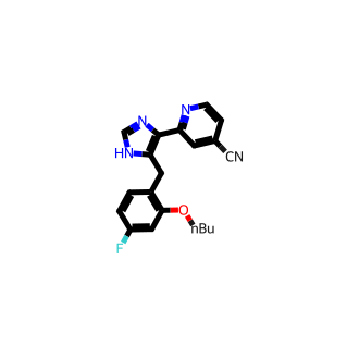 CCCCOc1cc(F)ccc1Cc1[nH]cnc1-c1cc(C#N)ccn1